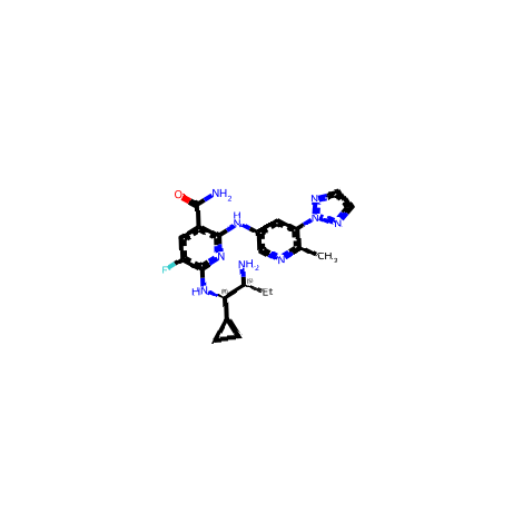 CC[C@H](N)[C@H](Nc1nc(Nc2cnc(C)c(-n3nccn3)c2)c(C(N)=O)cc1F)C1CC1